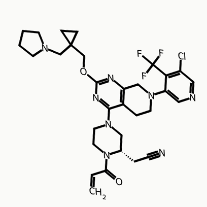 C=CC(=O)N1CCN(c2nc(OCC3(CN4CCCC4)CC3)nc3c2CCN(c2cncc(Cl)c2C(F)(F)F)C3)C[C@@H]1CC#N